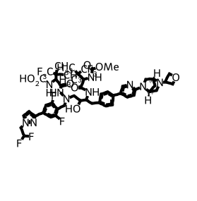 COC(=O)NC(C(=O)NC(Cc1ccc(-c2ccc(N3C[C@H]4C[C@@H]3CN4C3COC3)nc2)cc1)C(O)CN(Cc1c(F)cc(-c2ccn(CC(F)F)n2)cc1F)NC(=O)C(NC(=O)O)C(C)(C)C(F)(F)F)C(C)(C)C(F)(F)F